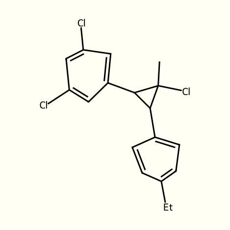 CCc1ccc(C2C(c3cc(Cl)cc(Cl)c3)C2(C)Cl)cc1